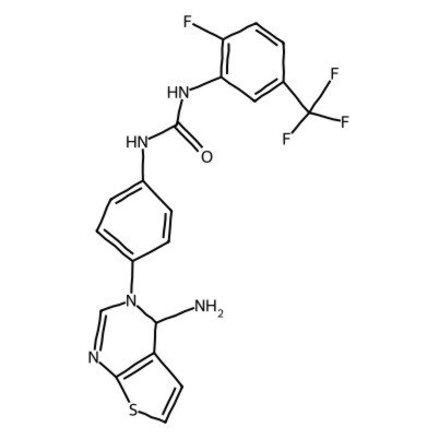 NC1c2ccsc2N=CN1c1ccc(NC(=O)Nc2cc(C(F)(F)F)ccc2F)cc1